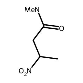 CNC(=O)CC(C)[N+](=O)[O-]